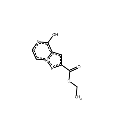 CCOC(=O)c1cc2c(O)nccn2n1